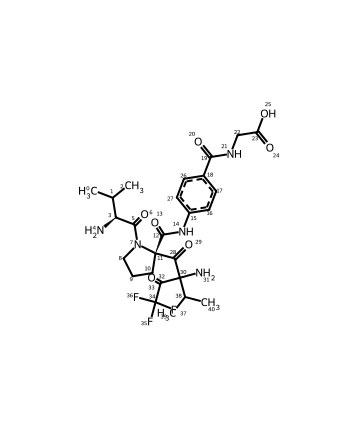 CC(C)[C@H](N)C(=O)N1CCC[C@@]1(C(=O)Nc1ccc(C(=O)NCC(=O)O)cc1)C(=O)C(N)(C(=O)C(F)(F)F)C(C)C